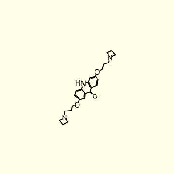 O=c1c2ccc(OCCCN3CCC3)cc2[nH]c2ccc(OCCCN3CCC3)cc12